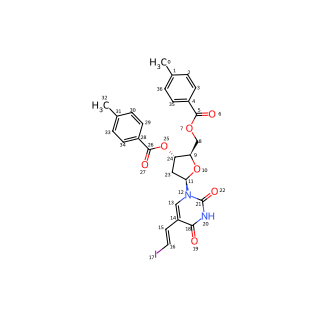 Cc1ccc(C(=O)OC[C@H]2O[C@@H](n3cc(/C=C/I)c(=O)[nH]c3=O)C[C@@H]2OC(=O)c2ccc(C)cc2)cc1